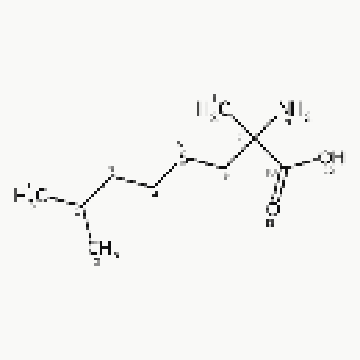 CC(C)CCSCC(C)(N)C(=O)O